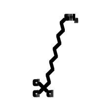 [SiH3]CCCCCCCCCCC(Cl)(Cl)Cl